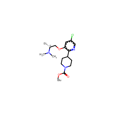 CC[C@H](COc1cc(Cl)cnc1C1CCN(C(=O)OC(C)(C)C)CC1)N(C)C